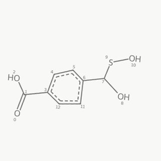 O=C(O)c1ccc(C(O)SO)cc1